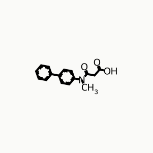 CN(C(=O)CC(=O)O)c1ccc(-c2ccccc2)cc1